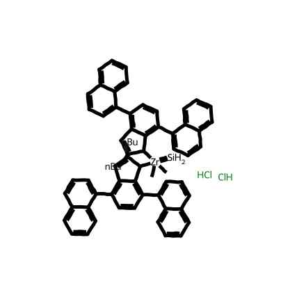 CCCCC1=Cc2c(-c3cccc4ccccc34)ccc(-c3cccc4ccccc34)c2[CH]1[Zr]([CH3])([CH3])(=[SiH2])[CH]1C(CCCC)=Cc2c(-c3cccc4ccccc34)ccc(-c3cccc4ccccc34)c21.Cl.Cl